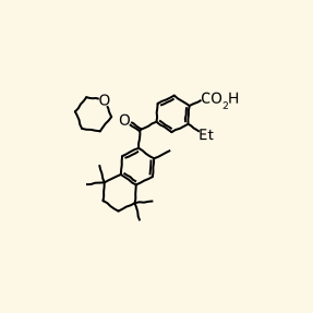 C1CCOCC1.CCc1cc(C(=O)c2cc3c(cc2C)C(C)(C)CCC3(C)C)ccc1C(=O)O